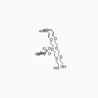 CCCCCCC=COCCOCCOCCO.CCCCCCC=COCCOCCOCCO.O=P([O-])([O-])[O-].[Na+].[Na+].[Na+]